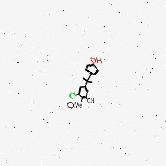 COc1c(Cl)cc(C(C)(C)c2ccc(O)cc2)cc1C#N